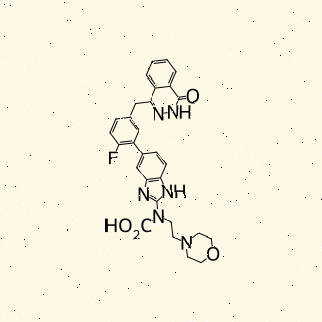 O=C(O)N(CCN1CCOCC1)c1nc2cc(-c3cc(Cc4n[nH]c(=O)c5ccccc45)ccc3F)ccc2[nH]1